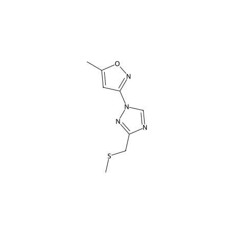 CSCc1ncn(-c2cc(C)on2)n1